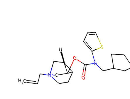 C=CC[N+]12CCC(CC1)[C@@H](OC(=O)N(CC1CCCC1)c1cccs1)C2